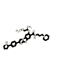 COC[C@@H](C)Oc1cc2c(cc1C(=O)NCCCN1CCCCC1)sc1nc(-c3ccc(C4CCCN4)cc3)cn12